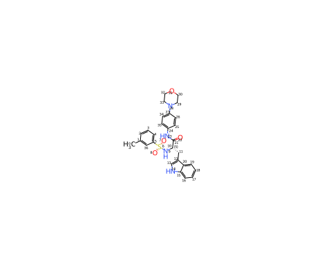 Cc1cccc(S(=O)(=O)N[C@@H](Cc2c[nH]c3ccccc23)C(=O)Nc2ccc(N3CCOCC3)cc2)c1